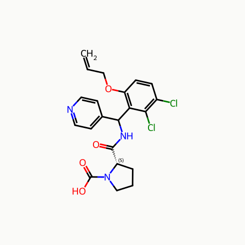 C=CCOc1ccc(Cl)c(Cl)c1C(NC(=O)[C@@H]1CCCN1C(=O)O)c1ccncc1